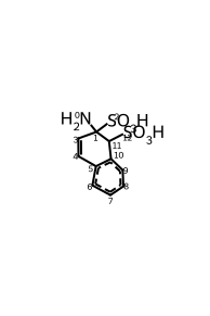 NC1(S(=O)(=O)O)C=Cc2ccccc2C1S(=O)(=O)O